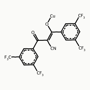 N#C/C(C(=O)c1cc(C(F)(F)F)cc(C(F)(F)F)c1)=C(/[O][Cu])c1cc(C(F)(F)F)cc(C(F)(F)F)c1